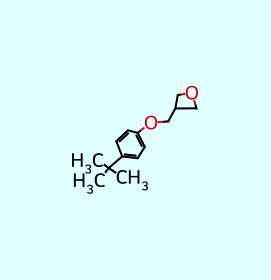 CC(C)(C)c1ccc(OCC2COC2)cc1